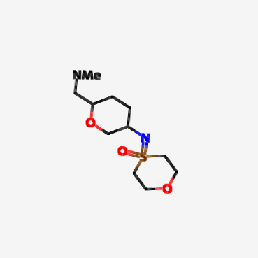 CNCC1CCC(N=S2(=O)CCOCC2)CO1